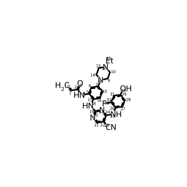 C=CC(=O)Nc1cc(N2CCN(CC)CC2)ccc1Nc1ncc(C#N)c(Nc2ccc(O)cc2F)n1